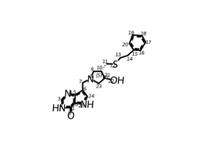 O=c1[nH]cnc2c(CN3C[C@H](CSCCc4ccccc4)[C@@H](O)C3)c[nH]c12